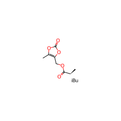 CC[C@H](C)[C@H](C)C(=O)OCc1oc(=O)oc1C